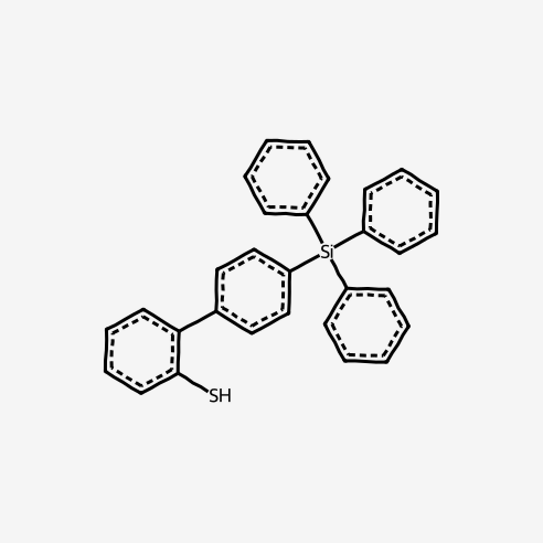 Sc1ccccc1-c1ccc([Si](c2ccccc2)(c2ccccc2)c2ccccc2)cc1